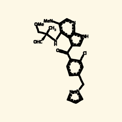 CNc1cnc2[nH]cc(C(=O)c3ccc(Cn4cccn4)cc3Cl)c2c1N[C@](C)(C=O)COC